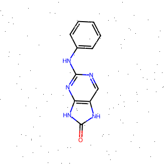 O=c1[nH]c2cnc(Nc3ccccc3)nc2[nH]1